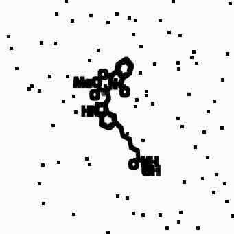 COC(=O)[C@H](Cc1c[nH]c2ccc(CCCCCC(=O)NO)cc12)N1C(=O)c2ccccc2C1=O